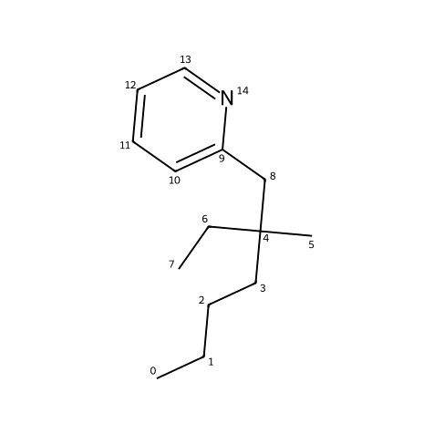 CCCCC(C)(CC)Cc1ccccn1